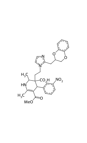 COC(=O)C1=C(C)NC(C)C(CCn2ccnc2CC2COc3ccccc3O2)(C(=O)O)C1c1cccc([N+](=O)[O-])c1